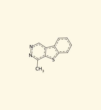 Cc1nncc2c1sc1ccccc12